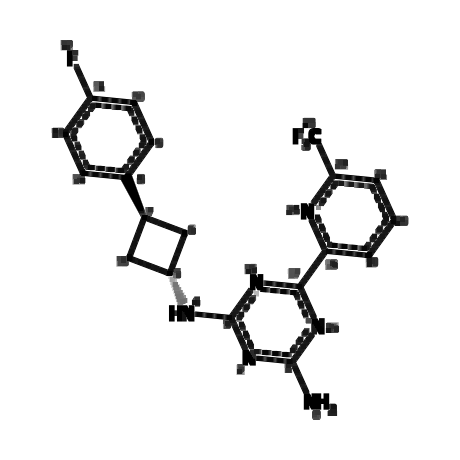 Nc1nc(N[C@H]2C[C@H](c3ccc(F)cc3)C2)nc(-c2cccc(C(F)(F)F)n2)n1